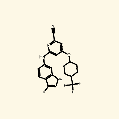 N#Cc1cc(OC2CCC(C(F)(F)F)CC2)cc(Nc2ccc3c(F)c[nH]c3c2)n1